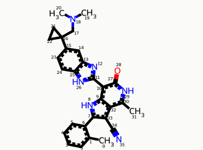 Cc1ccccc1-c1[nH]c2c(-c3nc4cc(C5(CN(C)C)CC5)ccc4[nH]3)c(=O)[nH]c(C)c2c1C#N